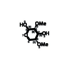 CO[C@@H]1[C@@H](O)[C@H](OC)CO[C@H]1O